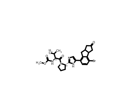 COC(=O)N[C@H](C(=O)N1CCC[C@H]1c1ncc(-c2ccc(Br)c3c2CC2CC(=O)CC32)[nH]1)C(C)C